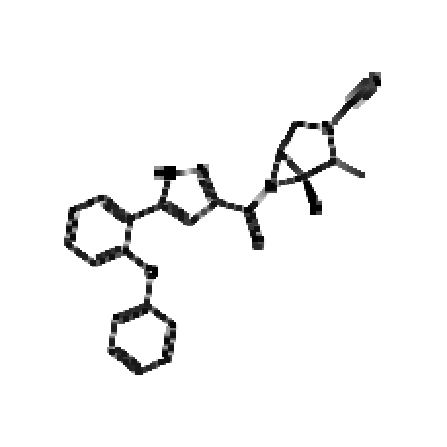 CC1[C@H]2C(CN1C#N)N2C(=O)c1cc(-c2ccccc2Oc2ccccc2)[nH]n1